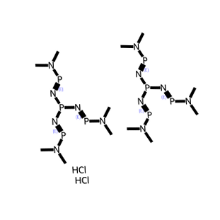 CN(C)/P=N/P(/N=P/N(C)C)/N=P/N(C)C.CN(C)/P=N/P(/N=P/N(C)C)/N=P/N(C)C.Cl.Cl